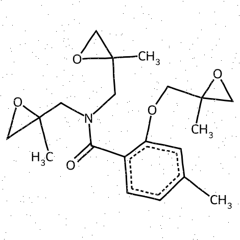 Cc1ccc(C(=O)N(CC2(C)CO2)CC2(C)CO2)c(OCC2(C)CO2)c1